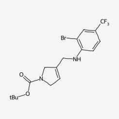 CC(C)(C)OC(=O)N1CC=C(CNc2ccc(C(F)(F)F)cc2Br)C1